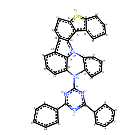 c1ccc(-c2nc(-c3ccccc3)nc(N3c4ccccc4-n4c5c3cccc5c3ccc5sc6ccccc6c5c34)n2)cc1